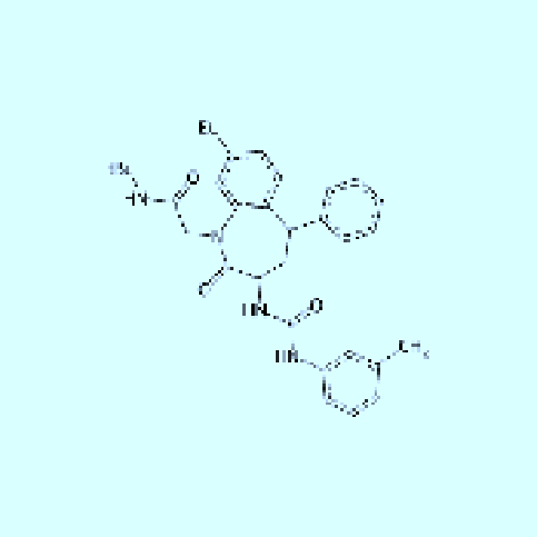 CCc1ccc2c(c1)N(CC(=O)NC(C)(C)C)C(=O)C(NC(=O)Nc1cccc(C)c1)CC2c1ccccc1